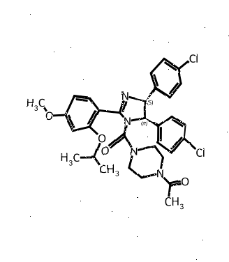 COc1ccc(C2=N[C@@H](c3ccc(Cl)cc3)[C@@H](c3ccc(Cl)cc3)N2C(=O)N2CCN(C(C)=O)CC2)c(OC(C)C)c1